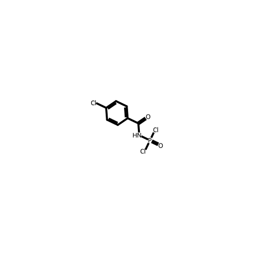 O=C(NP(=O)(Cl)Cl)c1ccc(Cl)cc1